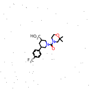 CC1(C)CN(C(=O)N2CC(C(=O)O)CC(c3ccc(C(F)(F)F)cc3)C2)CCO1